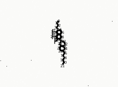 C=CCCc1ccc2cc(C3CCC4CC(CCCCCC)CCC4C3)c(F)c(F)c2c1F